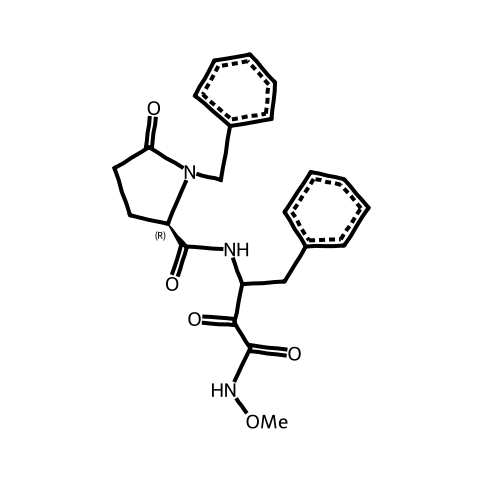 CONC(=O)C(=O)C(Cc1ccccc1)NC(=O)[C@H]1CCC(=O)N1Cc1ccccc1